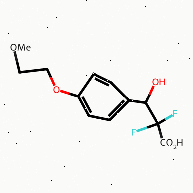 COCCOc1ccc(C(O)C(F)(F)C(=O)O)cc1